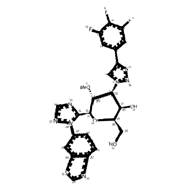 CO[C@@H]1[C@@H](n2cc(-c3cc(F)c(F)c(F)c3)nn2)[C@@H](O)[C@@H](CO)O[C@H]1c1ncnn1-c1ccc2ncsc2c1